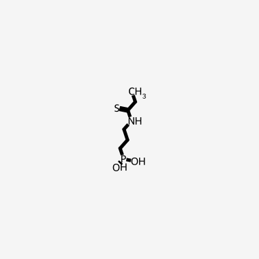 CCC(=S)NCCC[PH](=O)O